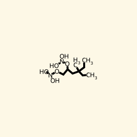 CCC(C)(CC)CC(CON(O)O)ON(O)O